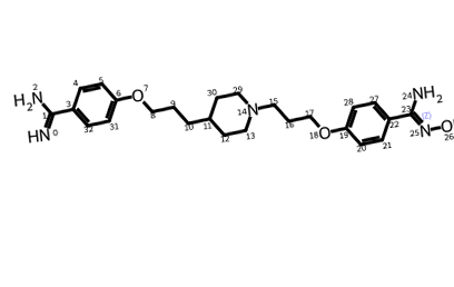 N=C(N)c1ccc(OCCCC2CCN(CCCOc3ccc(/C(N)=N/O)cc3)CC2)cc1